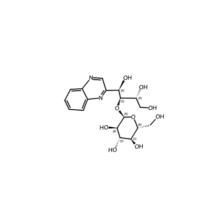 OC[C@@H](O)[C@@H](O[C@H]1O[C@H](CO)[C@@H](O)[C@H](O)[C@H]1O)[C@H](O)c1cnc2ccccc2n1